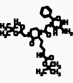 CC(C)(C)OC(=O)CN1CCN(C(=O)CN(NC(=N)N)C(=O)c2ccccc2)[C@@H](CCCNC(=O)OC(C)(C)C)C1=O